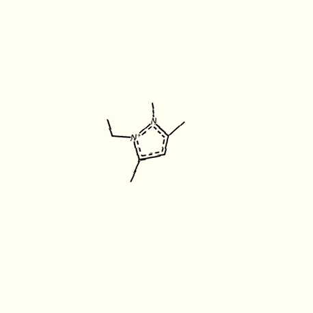 CC[n+]1c(C)cc(C)n1C